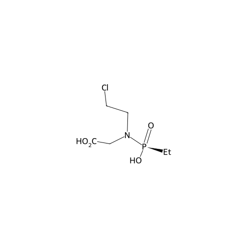 CC[P@@](=O)(O)N(CCCl)CC(=O)O